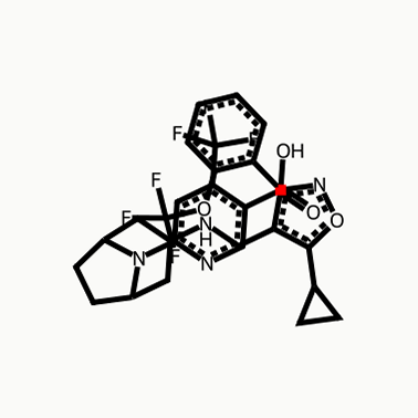 O=C(O)c1cnc(N2C3CCC2CC(NCc2c(-c4ccccc4OC(F)(F)F)noc2C2CC2)C3)cc1C(F)(F)F